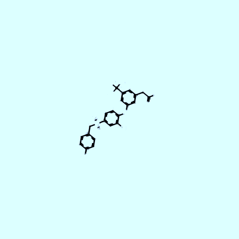 O=C(O)Cc1cc(Oc2ccc(S(=O)(=O)Cc3ccc(F)cc3)cc2Cl)cc(C(F)(F)F)c1